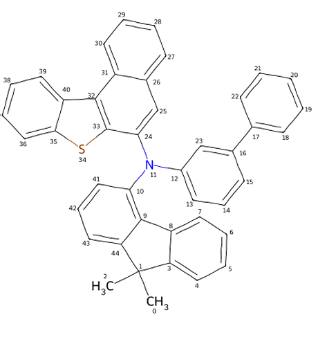 CC1(C)c2ccccc2-c2c(N(c3cccc(-c4ccccc4)c3)c3cc4ccccc4c4c3sc3ccccc34)cccc21